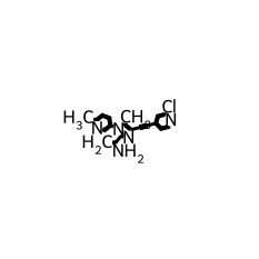 C=C(N)c1nc(C#Cc2ccnc(Cl)c2)c(C)n1-c1ccc(C)nc1